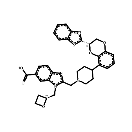 O=C(O)c1ccc2nc(CN3CCC(c4cccc5c4O[C@H](c4nc6ccccc6s4)CO5)CC3)n(C[C@@H]3CCO3)c2c1